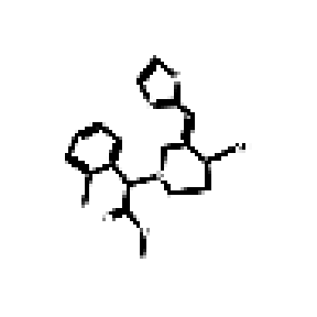 COC(=O)C(c1ccccc1F)N1CCC(S)C(=Cc2nccs2)C1